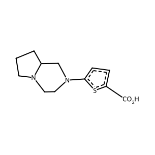 O=C(O)c1ccc(N2CCN3CCCC3C2)s1